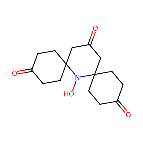 O=C1CCC2(CC1)CC(=O)CC1(CCC(=O)CC1)N2O